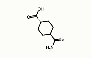 NC(=S)[C@H]1CC[C@H](C(=O)O)CC1